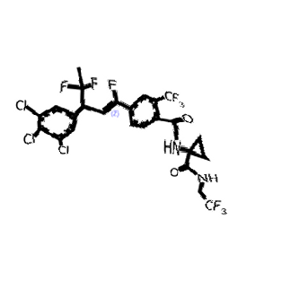 CC(F)(F)C(/C=C(\F)c1ccc(C(=O)NC2(C(=O)NCC(F)(F)F)CC2)c(C(F)(F)F)c1)c1cc(Cl)c(Cl)c(Cl)c1